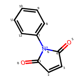 O=C1C=CC(=O)[N+]1c1ccccc1